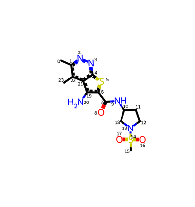 Cc1nnc2sc(C(=O)NC3CCN(S(C)(=O)=O)C3)c(N)c2c1C